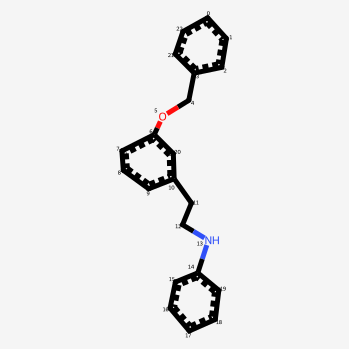 c1ccc(COc2cccc(CCNc3ccccc3)c2)cc1